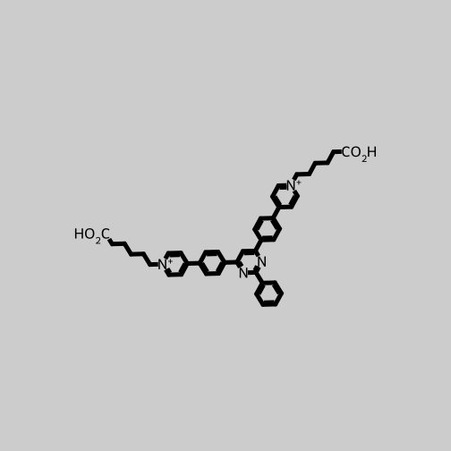 O=C(O)CCCCC[n+]1ccc(-c2ccc(-c3cc(-c4ccc(-c5cc[n+](CCCCCC(=O)O)cc5)cc4)nc(-c4ccccc4)n3)cc2)cc1